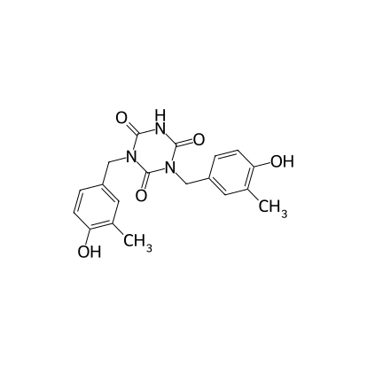 Cc1cc(Cn2c(=O)[nH]c(=O)n(Cc3ccc(O)c(C)c3)c2=O)ccc1O